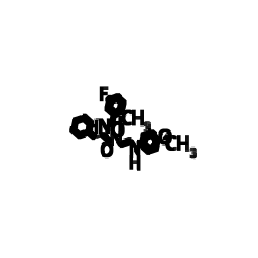 COc1ccc(NCCNC(=O)[C@H](CC2CCCCC2)NC(=O)c2cc(F)ccc2C)cc1